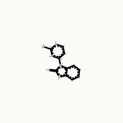 O=c1oc2ccccc2n1-c1ccnc(Cl)n1